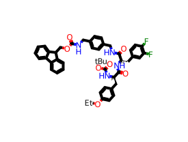 CCOc1ccc(C[C@@H](NC(=O)OC(C)(C)C)C(=O)N[C@@H](Cc2ccc(F)c(F)c2)C(=O)NCc2ccc(CNC(=O)OCC3c4ccccc4-c4ccccc43)cc2)cc1